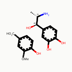 COc1cc(C(=O)O)ccc1O.C[C@H](N)[C@H](O)c1ccc(O)c(O)c1